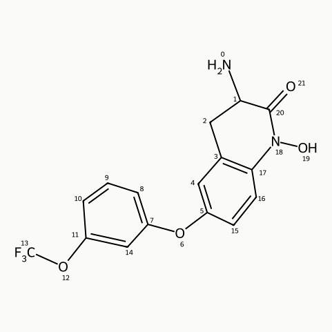 NC1Cc2cc(Oc3cccc(OC(F)(F)F)c3)ccc2N(O)C1=O